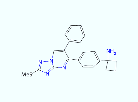 CSc1nc2nc(-c3ccc(C4(N)CCC4)cc3)c(-c3ccccc3)cn2n1